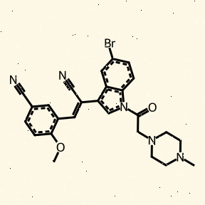 COc1ccc(C#N)cc1C=C(C#N)c1cn(C(=O)CN2CCN(C)CC2)c2ccc(Br)cc12